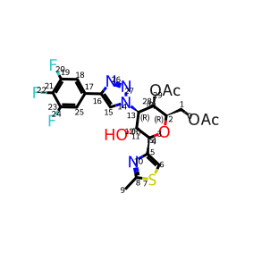 CC(=O)OC[C@H]1O[C@@H](c2csc(C)n2)[C@H](O)[C@@H](n2cc(-c3cc(F)c(F)c(F)c3)nn2)[C@H]1OC(C)=O